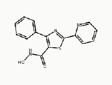 O=C(NO)c1sc(-c2ccccn2)nc1-c1ccccc1